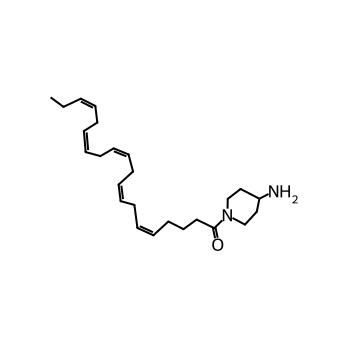 CC/C=C\C/C=C\C/C=C\C/C=C\C/C=C\CCCC(=O)N1CCC(N)CC1